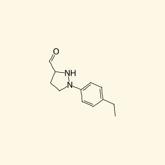 CCc1ccc(N2CCC(C=O)N2)cc1